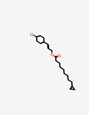 O=C(CCCCCCCCC1CC1)OCC=CC1CCC(Cl)CC1